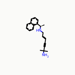 C[C@@H](NC/C=C/C#CC(C)(C)N)c1cccc2ccccc12